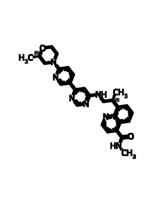 CNC(=O)c1ccnc2c([C@H](C)CNc3cc(-c4ccc(N5CCO[C@H](C)C5)nc4)ncn3)cccc12